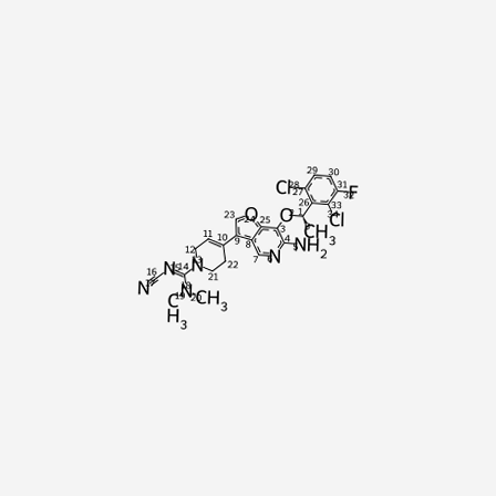 C[C@@H](Oc1c(N)ncc2c(C3=CCN(/C(=N/C#N)N(C)C)CC3)coc12)c1c(Cl)ccc(F)c1Cl